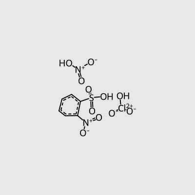 O=[N+]([O-])O.O=[N+]([O-])c1ccccc1S(=O)(=O)O.[O-][Cl+2]([O-])O